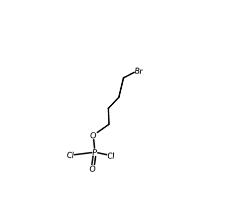 O=P(Cl)(Cl)OCCCCBr